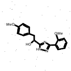 COc1ccc(CC(O)c2nc(-c3ccccc3OC)n[nH]2)cc1